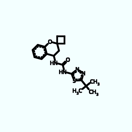 CC(C)(C)c1nnc(NC(=O)NC2CC3(CCC3)Oc3ccccc32)s1